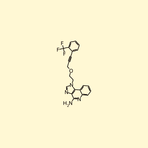 Nc1nc2ccccc2c2c1ncn2CCOCC#Cc1ccccc1C(F)(F)F